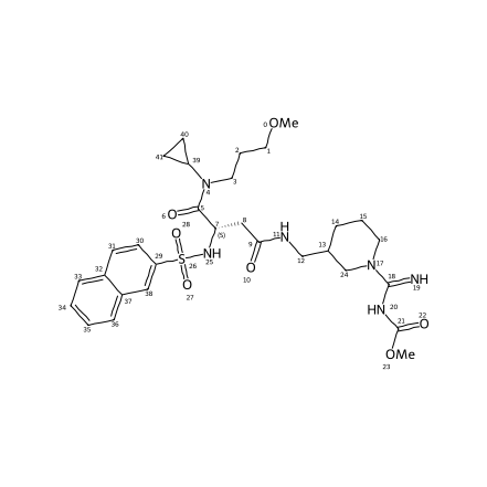 COCCCN(C(=O)[C@H](CC(=O)NCC1CCCN(C(=N)NC(=O)OC)C1)NS(=O)(=O)c1ccc2ccccc2c1)C1CC1